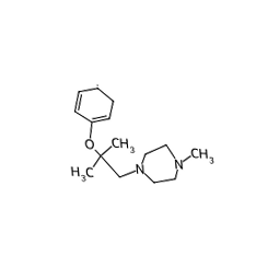 CN1CCN(CC(C)(C)OC2=CC[CH]C=C2)CC1